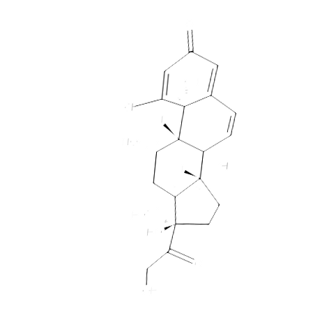 C[C@]12C(Cl)=CC(=O)C=C1C=C[C@@H]1[C@@H]2[C@@H](O)C[C@@]2(C)[C@H]1CC[C@]2(O)C(=O)CO